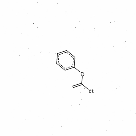 C=C(CC)Oc1cc[c]cc1